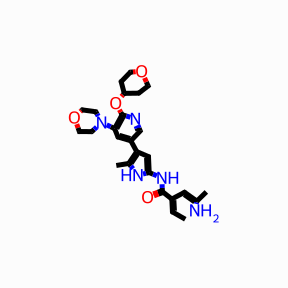 C/C=C(\C=C(\C)N)C(=O)Nc1cc(-c2cnc(OC3CCOCC3)c(N3CCOCC3)c2)c(C)[nH]1